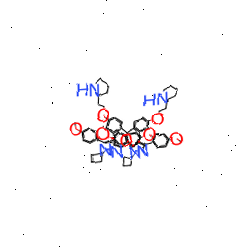 COc1ccc(-c2nn(C3CCC3)c(-c3ccc(OC)cc3)c2-c2cc(OCCC3CCCCN3)ccc2C(=O)c2ccc(OCCC3CCCCN3)cc2-c2c(-c3ccc(OC)cc3)nn(C3CCC3)c2-c2ccc(OC)cc2)cc1